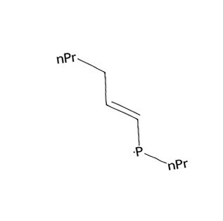 CCCCC=C[P]CCC